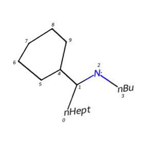 CCCCCCCC([N]CCCC)C1CCCCC1